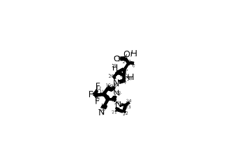 CC(C(=O)O)C1[C@H]2CN(c3cc(C(F)(F)F)c(C#N)c(N4CCC4C)n3)C[C@@H]12